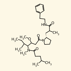 CCC(C)C(C(CC(=O)N1CCC[C@H]1CC(C)C(=O)NCCc1ccccc1)OC)N(C)C(=O)CCC(C)C